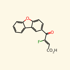 O=C(O)/C=C(\F)C(=O)c1ccc2oc3ccccc3c2c1